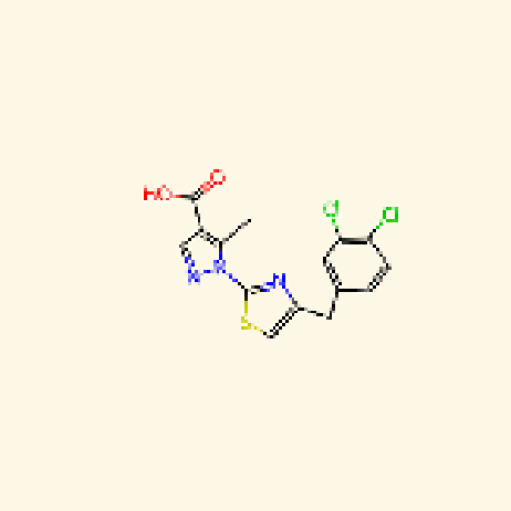 Cc1c(C(=O)O)cnn1-c1nc(Cc2ccc(Cl)c(Cl)c2)cs1